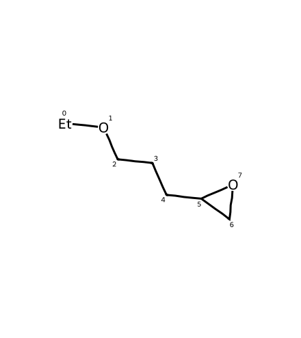 CCOCCCC1CO1